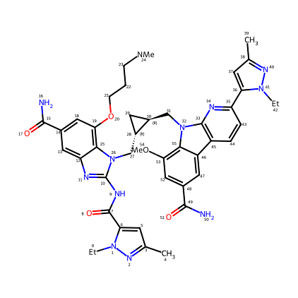 CCn1nc(C)cc1C(=O)Nc1nc2cc(C(N)=O)cc(OCCCNC)c2n1C[C@@H]1C[C@H]1Cn1c2nc(-c3cc(C)nn3CC)ccc2c2cc(C(N)=O)cc(OC)c21